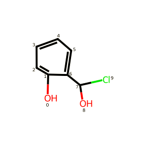 Oc1ccccc1C(O)Cl